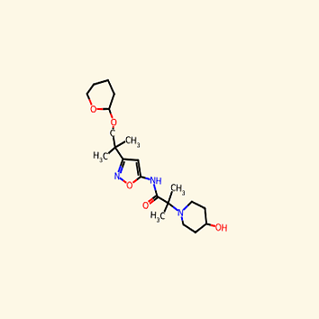 CC(C)(COC1CCCCO1)c1cc(NC(=O)C(C)(C)N2CCC(O)CC2)on1